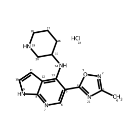 Cc1noc(-c2cnc3[nH]ccc3c2NC2CCCNC2)n1.Cl